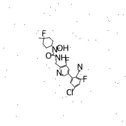 CC1(F)CCC(N(O)C(=O)NCc2ncc(-c3cc(Cl)cc(F)c3C#N)cc2F)CC1